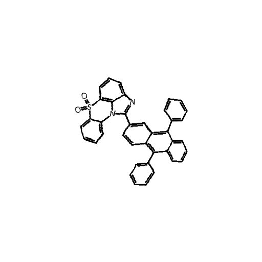 O=S1(=O)c2ccccc2-n2c(-c3ccc4c(-c5ccccc5)c5ccccc5c(-c5ccccc5)c4c3)nc3cccc1c32